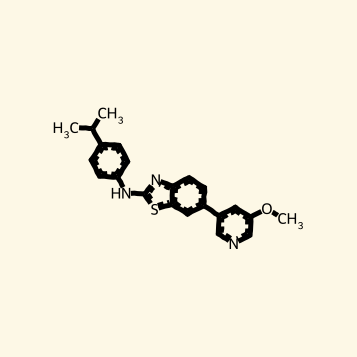 COc1cncc(-c2ccc3nc(Nc4ccc(C(C)C)cc4)sc3c2)c1